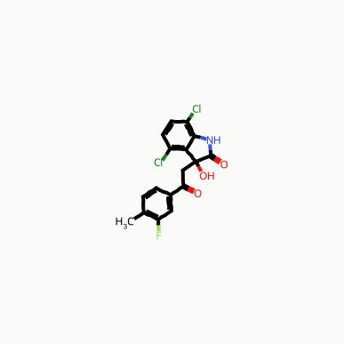 Cc1ccc(C(=O)CC2(O)C(=O)Nc3c(Cl)ccc(Cl)c32)cc1F